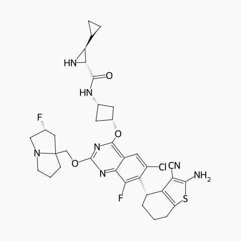 N#Cc1c(N)sc2c1[C@@H](c1c(Cl)cc3c(O[C@H]4C[C@@H](NC(=O)[C@@H]5N[C@H]5C5CC5)C4)nc(OCC45CCCN4C[C@H](F)C5)nc3c1F)CCC2